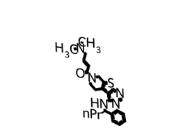 CCC[C@@H](Nc1ncnc2sc3c(c12)CCN(C(=O)/C=C/CN(C)C)C3)c1ccccc1